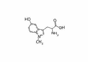 Cn1cc(CC(N)C(=O)O)c2cc(O)ccc21